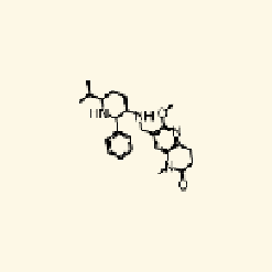 COc1nc2c(cc1CNC1CCC(C(C)C)NC1c1ccccc1)N(C)C(=O)CC2